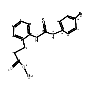 CC(C)(C)OC(=O)CCc1ccccc1NC(=O)Nc1ccc(Br)cc1